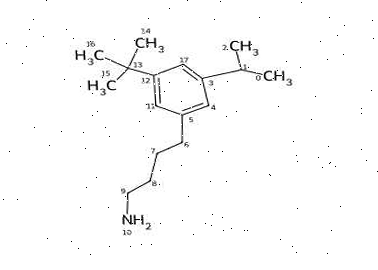 CC(C)c1cc(CCCCN)cc(C(C)(C)C)c1